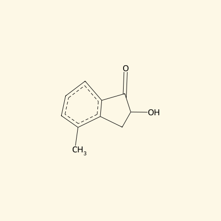 Cc1cccc2c1CC(O)C2=O